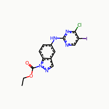 CCOC(=O)n1ncc2cc(Nc3ncc(I)c(Cl)n3)ccc21